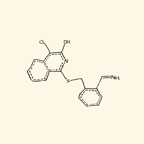 N=Cc1ccccc1CSc1nc(O)c(Cl)c2ccccc12